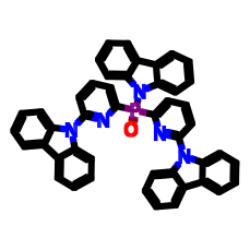 O=P(c1cccc(-n2c3ccccc3c3ccccc32)n1)(c1cccc(-n2c3ccccc3c3ccccc32)n1)n1c2ccccc2c2ccccc21